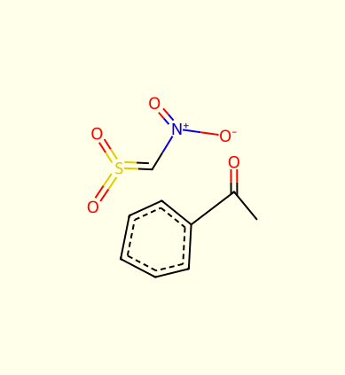 CC(=O)c1ccccc1.O=[N+]([O-])C=S(=O)=O